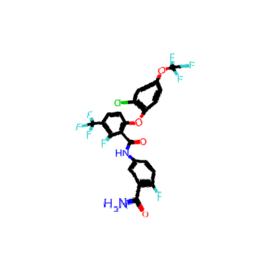 NC(=O)c1cc(NC(=O)c2c(Oc3ccc(OC(F)(F)F)cc3Cl)ccc(C(F)(F)F)c2F)ccc1F